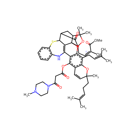 COC(=O)/C(C)=C\CC12OC(C)(C)C3CC(C1=O)C1Sc4ccccc4NC4=C1C32Oc1c(CC=C(C)C)c2c(c(OC(=O)CC(=O)N3CCN(C)CC3)c14)C=CC(C)(CCC=C(C)C)O2